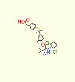 Cc1cc(C(C)(C)Sc2ccc(CC(=O)O)cc2)ccc1OCc1c(C(C)C)nnn1-c1c(Cl)cccc1Cl